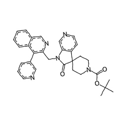 CC(C)(C)OC(=O)N1CCC2(CC1)C(=O)N(Cc1ncc3ccccc3c1-c1cccnc1)c1cnccc12